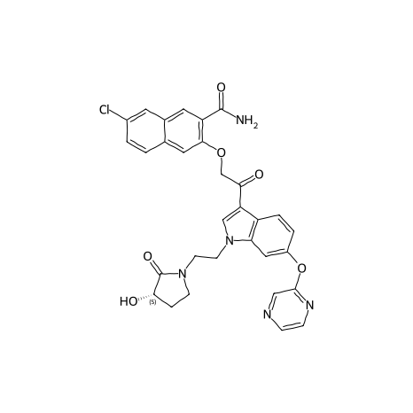 NC(=O)c1cc2cc(Cl)ccc2cc1OCC(=O)c1cn(CCN2CC[C@H](O)C2=O)c2cc(Oc3cnccn3)ccc12